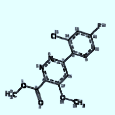 COC(=O)c1nnc(-c2ccc(F)cc2Cl)cc1OC